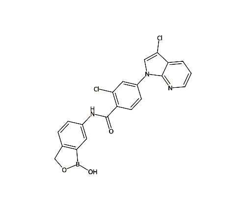 O=C(Nc1ccc2c(c1)B(O)OC2)c1ccc(-n2cc(Cl)c3cccnc32)cc1Cl